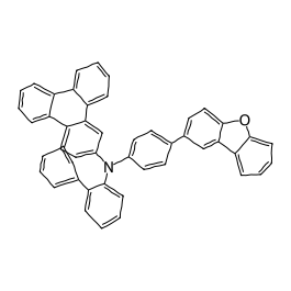 c1ccc(-c2ccccc2N(c2ccc(-c3ccc4oc5ccccc5c4c3)cc2)c2ccc3c4ccccc4c4ccccc4c3c2)cc1